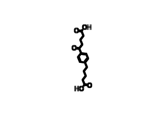 O=C(O)CCCCc1ccc(C(=O)CCCC(=O)O)cc1